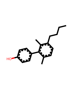 CCCCc1ccc(C)c(-c2ccc(O)cc2)c1C